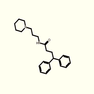 O=C(CCC(c1ccccc1)c1ccccc1)NCCCN1CCCCC1